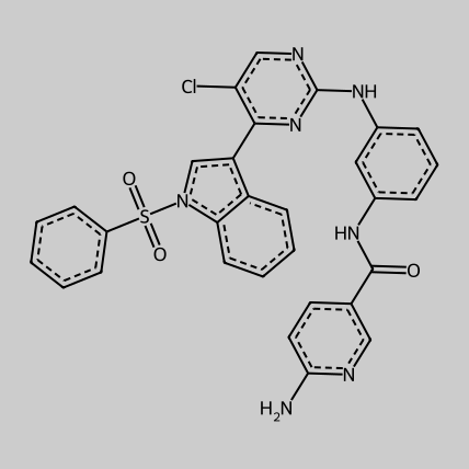 Nc1ccc(C(=O)Nc2cccc(Nc3ncc(Cl)c(-c4cn(S(=O)(=O)c5ccccc5)c5ccccc45)n3)c2)cn1